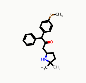 CSc1ccc(C(C(=O)CC2CCC(C)(C)N2)c2ccccc2)cc1